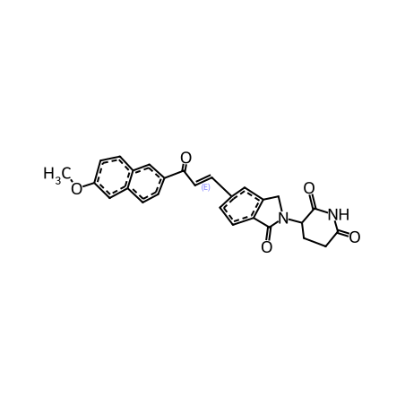 COc1ccc2cc(C(=O)/C=C/c3ccc4c(c3)CN(C3CCC(=O)NC3=O)C4=O)ccc2c1